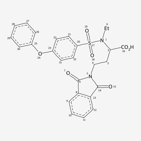 CCN(C(CCN1C(=O)c2ccccc2C1=O)C(=O)O)S(=O)(=O)c1ccc(Oc2ccccc2)cc1